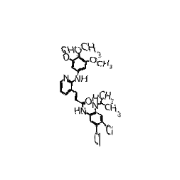 COc1cc(Nc2ncccc2/C=C/C(=O)Nc2cc(Cl)c(Cl)cc2NC(C)C)cc(OC)c1OC